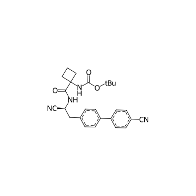 CC(C)(C)OC(=O)NC1(C(=O)N[C@H](C#N)Cc2ccc(-c3ccc(C#N)cc3)cc2)CCC1